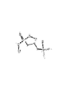 CCOP(=O)(CCC[Si](F)(F)F)OCC